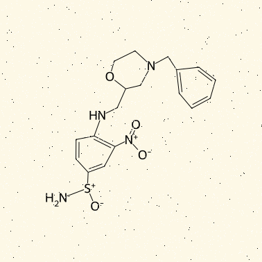 N[S+]([O-])c1ccc(NCC2CN(Cc3ccccc3)CCO2)c([N+](=O)[O-])c1